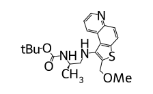 COCc1sc2ccc3ncccc3c2c1NC[C@@H](C)NC(=O)OC(C)(C)C